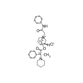 C[C@@](C(=O)O[C@H]1C[N+]2(CC(=O)Nc3ccccc3)CCC1CC2)(c1ccccc1)N1CCCCC1.[Cl-]